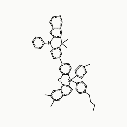 CCCCc1ccc([Si]2(c3ccc(C)cc3)c3ccc(-c4ccc5c(c4)C(C)(C)c4cc6ccccc6cc4N5c4ccccc4)cc3Oc3c2ccc2cc(C)c(C)cc32)cc1